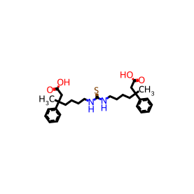 CC(CCCCNC(=S)NCCCCC(C)(CC(=O)O)c1ccccc1)(CC(=O)O)c1ccccc1